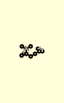 c1ccc(-c2nc(-c3ccccc3)nc(-c3cc(-c4cccc(-c5ccc(-c6cc7cccnc7c7ncccc67)cc5)c4)cc4c3oc3ccccc34)n2)cc1